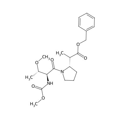 COC(=O)N[C@H](C(=O)N1CCC[C@H]1C(C)C(=O)OCc1ccccc1)[C@H](C)OC